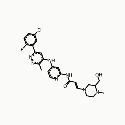 Cc1nnc(-c2cc(Cl)ccc2F)cc1Nc1ccnc(NC(=O)C=CN2CCN(C)C(CO)C2)c1